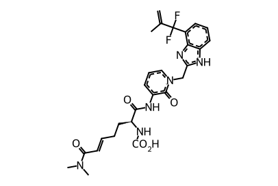 C=C(C)C(F)(F)c1cccc2[nH]c(Cn3cccc(NC(=O)[C@H](CC/C=C/C(=O)N(C)C)NC(=O)O)c3=O)nc12